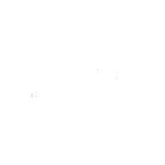 c1ccc(CN2CCOCCOCCNCCOCCOCC2)cc1